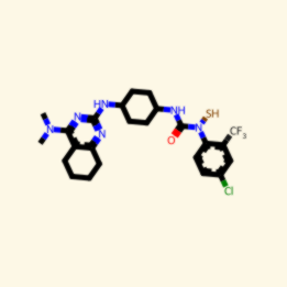 CN(C)c1nc(NC2CCC(NC(=O)N(S)c3ccc(Cl)cc3C(F)(F)F)CC2)nc2c1CCCC2